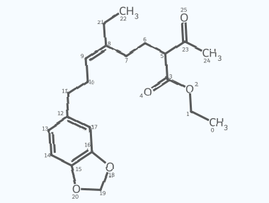 CCOC(=O)C(CCC(=CCCc1ccc2c(c1)OCO2)CC)C(C)=O